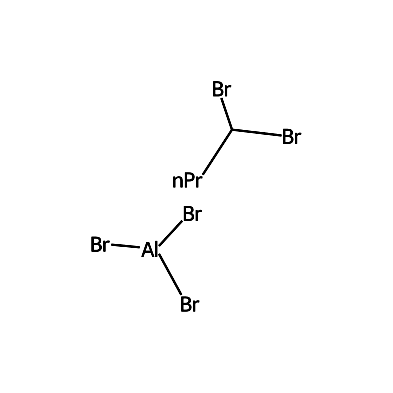 [Br][Al]([Br])[Br].[CH2]CCC(Br)Br